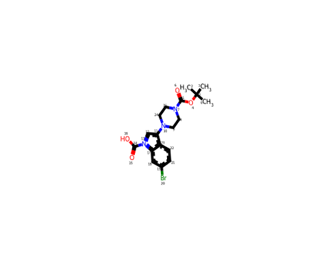 CC(C)(C)OC(=O)N1CCN(c2cn(C(=O)O)c3cc(Br)ccc23)CC1